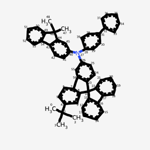 CC(C)(C)c1ccc2c(c1)C1(c3ccccc3-c3ccccc31)c1ccc(N(c3ccc(-c4ccccc4)cc3)c3ccc4c(c3)C(C)(C)c3ccccc3-4)cc1-2